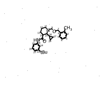 Cc1ccccc1COCN1CCCC(C(=O)Nc2cccc(C(C)(C)C)c2)C1C1CC1